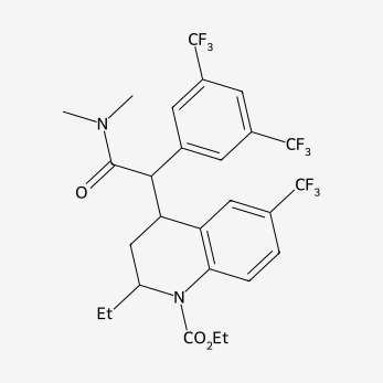 CCOC(=O)N1c2ccc(C(F)(F)F)cc2C(C(C(=O)N(C)C)c2cc(C(F)(F)F)cc(C(F)(F)F)c2)CC1CC